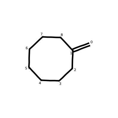 C=C1CCC[CH]CCC1